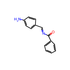 Nc1ccc(C=NC(=O)c2ccccc2)cc1